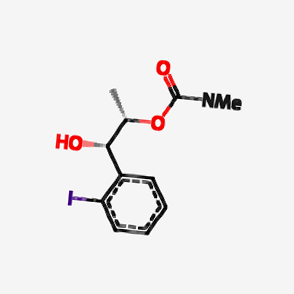 CNC(=O)O[C@@H](C)[C@@H](O)c1ccccc1I